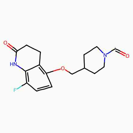 O=[C]N1CCC(COc2ccc(F)c3c2CCC(=O)N3)CC1